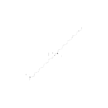 CCCCCCCCCCCC(=O)NCCCCCCCCCC(C)=O